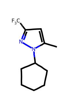 Cc1cc(C(F)(F)F)nn1C1CCCCC1